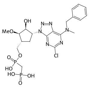 CO[C@@H]1[C@@H](COP(=O)(O)CP(=O)(O)O)C[C@@H](n2nnc3c(N(C)Cc4ccccc4)nc(Cl)nc32)[C@@H]1O